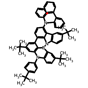 CC(C)(C)c1ccc(N2c3ccc(C(C)(C)C)cc3B3c4c(cc(C(C)(C)C)cc42)-c2ccc(N(c4ccccc4)c4ccccc4-c4ccccc4)c4c5cc(C(C)(C)C)ccc5n3c24)cc1